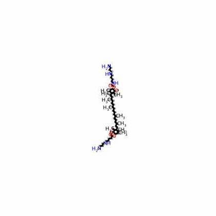 CC1=C(/C=C/C(C)=C/C=C/C(C)=C/C=C/C=C(C)/C=C/C=C(C)/C=C/C2=C(C)C(=O)C(OC(=O)NCCCCNCCCN)CC2(C)C)C(C)(C)CC(OC(=O)CCCCNCCCN)C1=O